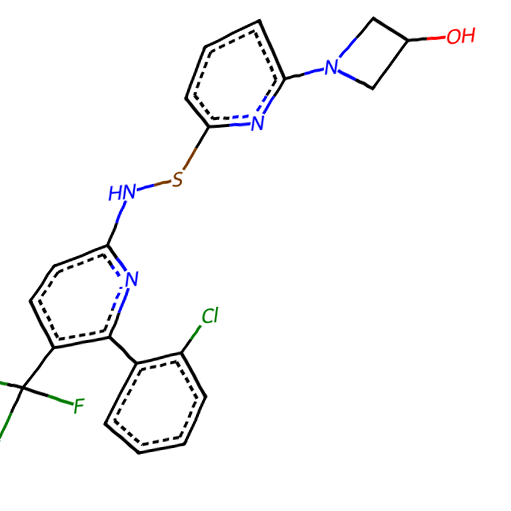 OC1CN(c2cccc(SNc3ccc(C(F)(F)F)c(-c4ccccc4Cl)n3)n2)C1